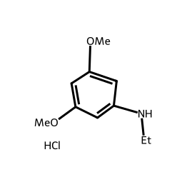 CCNc1cc(OC)cc(OC)c1.Cl